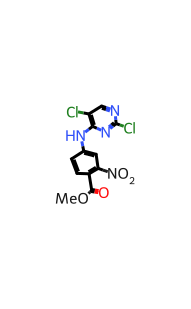 COC(=O)c1ccc(Nc2nc(Cl)ncc2Cl)cc1[N+](=O)[O-]